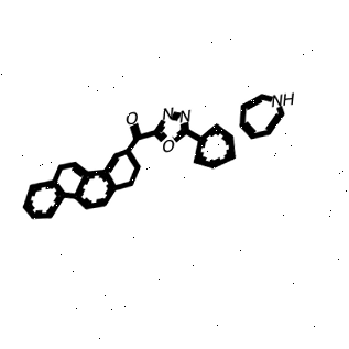 C1=CC=CNC=C1.O=C(c1nnc(-c2ccccc2)o1)C1C=c2c(ccc3c2=CCc2ccccc2-3)CC1